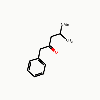 CNC(C)CC(=O)Cc1ccccc1